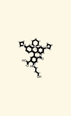 O=C(O)c1cc(C2=C3C=CC(=[N+]4CCC4)C=C3[Si]3(CCCCC3)c3cc(N4CCC4)ccc32)c(C(=O)[O-])cc1NCCCO